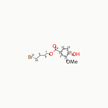 COc1cc(C(=O)OCCCCBr)ccc1O